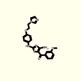 COc1cccc(C(=O)c2sc(Nc3ccc(OCCn4ccnc4)cc3)nc2N)c1